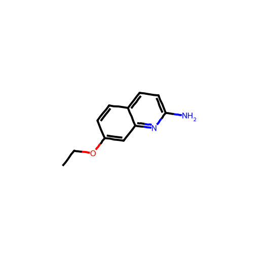 CCOc1ccc2ccc(N)nc2c1